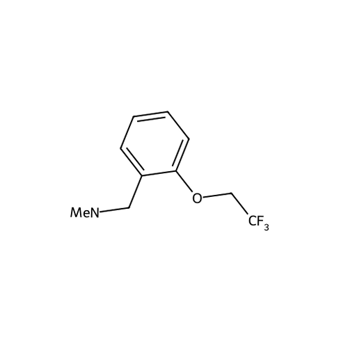 CNCc1ccccc1OCC(F)(F)F